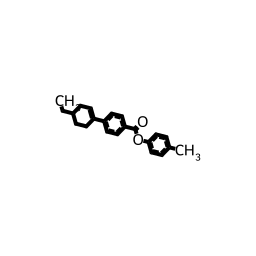 CCC1CC=C(c2ccc(C(=O)Oc3ccc(C)cc3)cc2)CC1